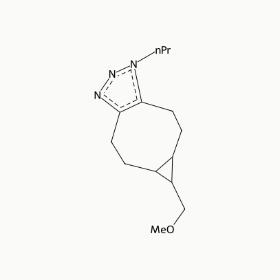 CCCn1nnc2c1CCC1C(CC2)C1COC